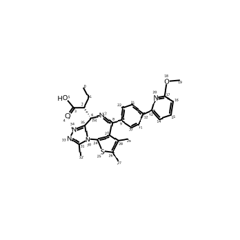 CCC(C(=O)O)[C@@H]1N=C(c2ccc(-c3cccc(OC)n3)cc2)c2c(sc(C)c2C)-n2c(C)nnc21